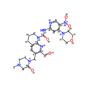 CN1CCN(Cc2cc3c(nc2C=O)N(C(=O)Nc2cc(N4CCOCC4)c([N+](=O)[O-])cn2)CCC3)C(=O)C1